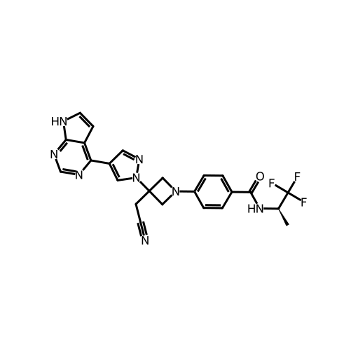 C[C@@H](NC(=O)c1ccc(N2CC(CC#N)(n3cc(-c4ncnc5[nH]ccc45)cn3)C2)cc1)C(F)(F)F